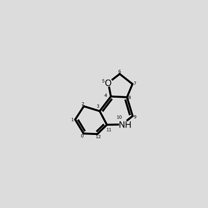 C1=CCC2=C3OCCC3=CNC2=C1